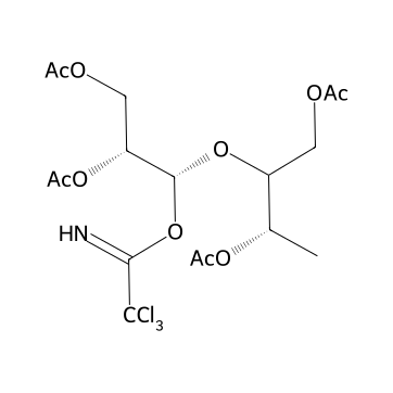 CC(=O)OCC(O[C@H](OC(=N)C(Cl)(Cl)Cl)[C@@H](COC(C)=O)OC(C)=O)[C@H](C)OC(C)=O